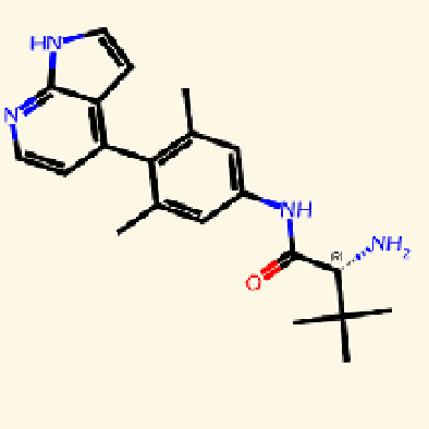 Cc1cc(NC(=O)[C@H](N)C(C)(C)C)cc(C)c1-c1ccnc2[nH]ccc12